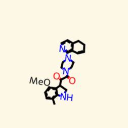 COc1ccc(C)c2c1C(C(=O)C(=O)N1CCN(c3nccc4c3C=CCC4)CC1)CN2